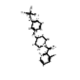 Cc1cccnc1C(=O)N1CCC(Oc2cccc(OC(F)(F)F)c2)CC1